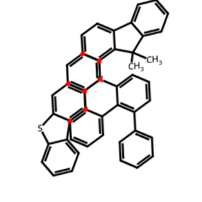 CC1(C)c2ccccc2-c2cccc(N(c3ccc4sc5ccccc5c4c3)c3cccc(-c4ccccc4)c3-c3ccccc3-c3ccccc3)c21